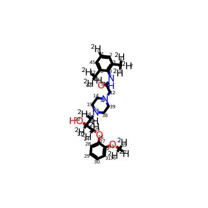 [2H]c1cc(C([2H])([2H])[2H])c(NC(=O)CN2CCN(C([2H])([2H])C([2H])(O)C([2H])([2H])Oc3ccccc3OC([2H])([2H])[2H])CC2)c(C([2H])([2H])[2H])c1